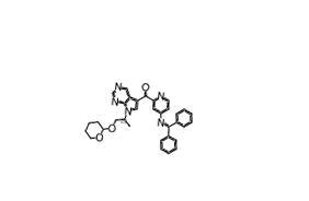 C[C@@H](COC1CCCCO1)n1cc(C(=O)c2cc(N=C(c3ccccc3)c3ccccc3)ccn2)c2cncnc21